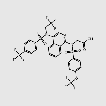 O=C(O)CN(c1ncc(N(CC(F)(F)F)S(=O)(=O)c2ccc(C(F)(F)F)cc2)c2ccccc12)S(=O)(=O)c1ccc(OC(F)(F)F)cc1